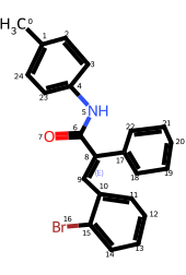 Cc1ccc(NC(=O)/C(=C/c2ccccc2Br)c2ccccc2)cc1